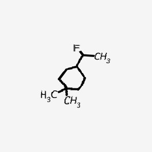 CC(F)C1CCC(C)(C)CC1